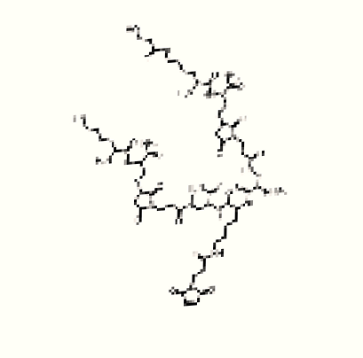 CC(=O)NC(CNC(=O)CCN1C(=O)CC(SCC(NC(=O)C(N)CCCCNC(=O)CCO)C(N)=O)C1=O)C(=O)NC(CCCCNC(=O)CCN1C(=O)C=CC1=O)C(=O)NC(CNC(=O)CCN1C(=O)CC(SCC(NC(=O)C(N)CCCCN)C(N)=O)C1=O)C(N)=O